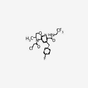 C[C@H]1COc2nc(C(=O)NCC(F)(F)F)c(Cc3ccc(F)cc3)cc2N1C(=O)CCl